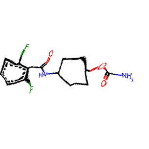 NC(=O)OC1CCC(NC(=O)c2c(F)cccc2F)CC1